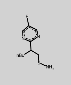 CCCCC(CSN)c1ncc(F)cn1